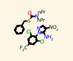 CCCN(CCC)C(=O)SCc1ccccc1.Nc1c([N+](=O)[O-])cnn1-c1c(Cl)cc(C(F)(F)F)cc1Cl